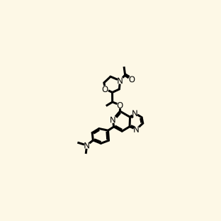 CC(=O)N1CCOC(C(C)Oc2nc(-c3ccc(N(C)C)cc3)cc3nccnc23)C1